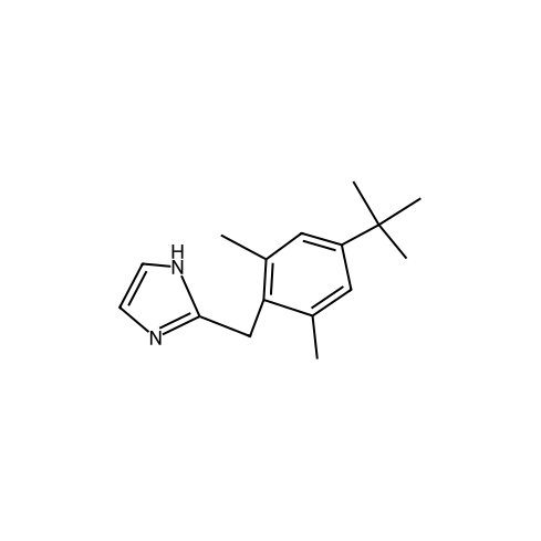 Cc1cc(C(C)(C)C)cc(C)c1Cc1ncc[nH]1